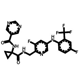 O=C(NC1(C(=O)NCc2ncc(Nc3ccc(F)cc3C(F)(F)F)cc2F)CC1)c1cncnc1